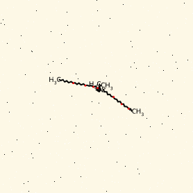 CCCCCCCCCCCCCCCCCCCn1cc[n+](CCCCCCCCCCCCCCCCCCC)c1C(C)C